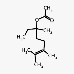 CCC(C)(CCC(C)=C(C)C)OC(C)=O